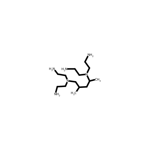 CC(CC(C)N(CCN)CCN)CN(CCN)CCN